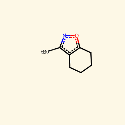 CC(C)(C)c1noc2c1CCCC2